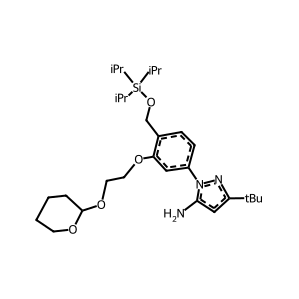 CC(C)[Si](OCc1ccc(-n2nc(C(C)(C)C)cc2N)cc1OCCOC1CCCCO1)(C(C)C)C(C)C